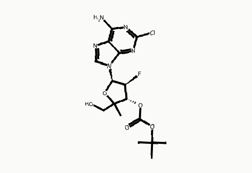 CC(C)(C)OC(=O)O[C@H]1[C@H](F)[C@H](n2cnc3c(N)nc(Cl)nc32)OC1(C)CO